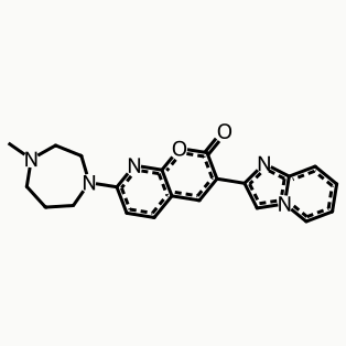 CN1CCCN(c2ccc3cc(-c4cn5ccccc5n4)c(=O)oc3n2)CC1